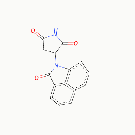 O=C1CC(N2C(=O)c3cccc4cccc2c34)C(=O)N1